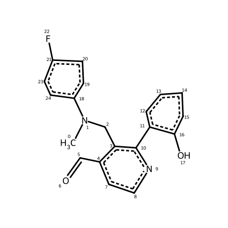 CN(Cc1c(C=O)ccnc1-c1ccccc1O)c1ccc(F)cc1